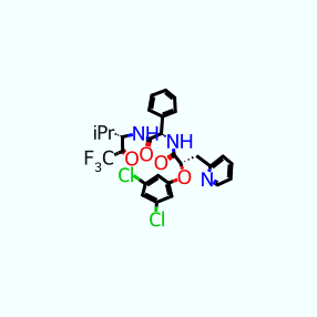 CC(C)[C@H](NC(=O)[C@@H](NC(=O)[C@H](Cc1ccccn1)Oc1cc(Cl)cc(Cl)c1)c1ccccc1)C(=O)C(F)(F)F